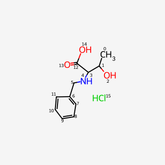 CC(O)C(NCc1ccccc1)C(=O)O.Cl